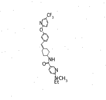 CCN(C)c1ccc(C(=O)NC2CCC(=Cc3cccc(Oc4ccc(C(F)(F)F)cn4)c3)CC2)cn1